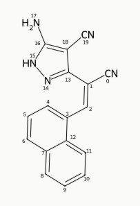 N#CC(=Cc1cccc2ccccc12)c1n[nH]c(N)c1C#N